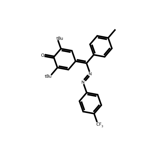 Cc1ccc(C(N=Nc2ccc(C(F)(F)F)cc2)=C2C=C(C(C)(C)C)C(=O)C(C(C)(C)C)=C2)cc1